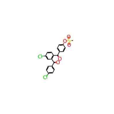 CS(=O)(=O)Oc1ccc(C(=O)c2ccc(Cl)cc2C(=O)c2ccc(Cl)cc2)cc1